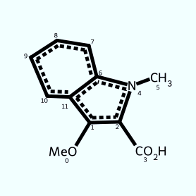 COc1c(C(=O)O)n(C)c2ccccc12